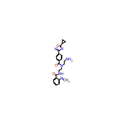 C=Nc1ccccc1C(=O)NCCN(CCN)C(=O)c1ccc(-c2noc(C3CC3)n2)cc1